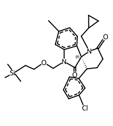 Cc1ccc2c(c1)N(COCC[Si](C)(C)C)C(=O)[C@@]21C(c2cccc(Cl)c2)CCC(=O)N1CC1CC1